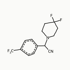 N#CC(c1ccc(C(F)(F)F)cc1)N1CCC(F)(F)CC1